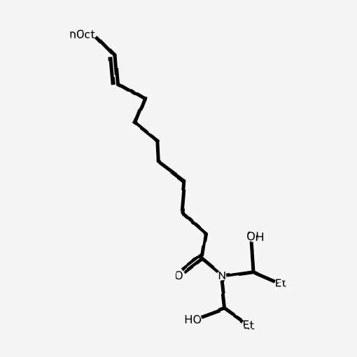 CCCCCCCCC=CCCCCCCCC(=O)N(C(O)CC)C(O)CC